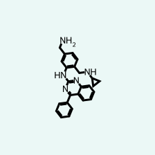 NCc1ccc(CNC2CC2)c(Nc2nc(-c3ccccc3)c3ccccc3n2)c1